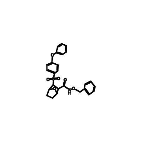 O=C(NOCc1ccccc1)C1C2CCC(O2)C1S(=O)(=O)c1ccc(Oc2ccccc2)cc1